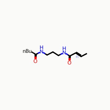 C/C=C/C(=O)NCCCNC(=O)CCCC